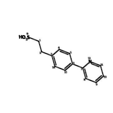 O=S(=O)(O)CCc1ccc(-c2ccccn2)cc1